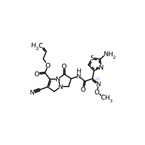 C=CCOC(=O)C1=C(C#N)CN2CC(NC(=O)/C(=N\OC)c3csc(N)n3)C(=O)N12